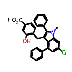 Cn1c(-c2ccccc2)c(Cc2ccc(C(=O)O)cc2O)c2c(-c3ccccc3)cc(Cl)cc21